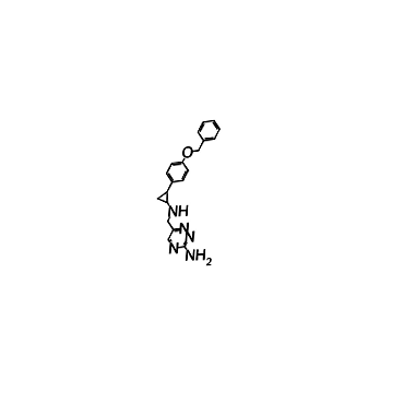 Nc1ncc(CNC2CC2c2ccc(OCc3ccccc3)cc2)nn1